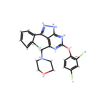 Fc1ccc(Oc2nc(CN3CCOCC3)c3c(-c4ccccc4Cl)n[nH]c3n2)c(F)c1